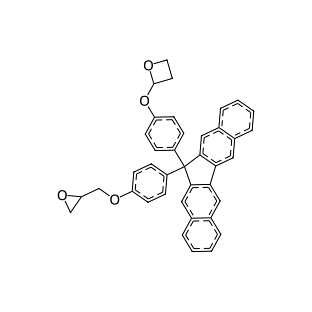 c1ccc2cc3c(cc2c1)-c1cc2ccccc2cc1C3(c1ccc(OCC2CO2)cc1)c1ccc(OC2CCO2)cc1